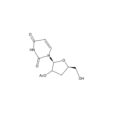 CC(=O)OC1C[C@H](CO)O[C@@H]1n1ccc(=O)[nH]c1=O